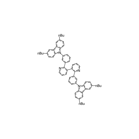 CCCCc1ccc2c(c1)c1cc(CCCC)ccc1n2-c1cccc(-c2ncccc2-c2cccnc2-c2cccc(-n3c4ccc(CCCC)cc4c4cc(CCCC)ccc43)c2)c1